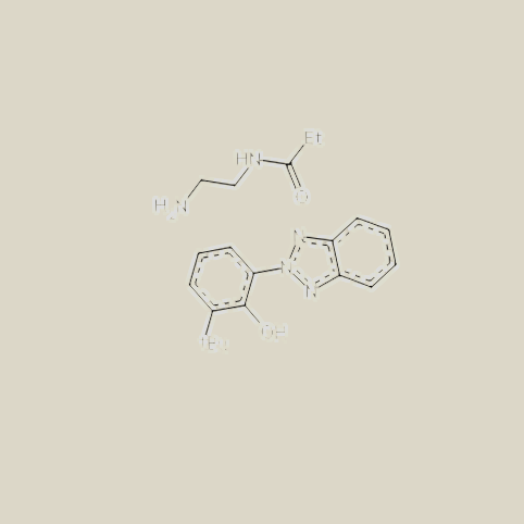 CC(C)(C)c1cccc(-n2nc3ccccc3n2)c1O.CCC(=O)NCCN